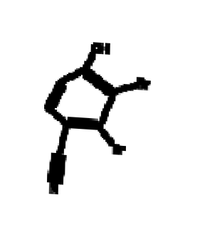 N#Cc1ccc(O)c(Br)c1Br